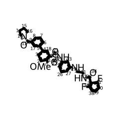 COc1ccc(-c2cccc(C(=O)N3CCCC3)c2)cc1S(=O)(=O)Nc1cccc(NCCNC(=O)c2c(F)cccc2F)c1